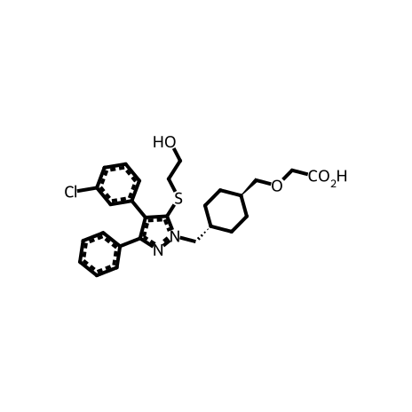 O=C(O)COC[C@H]1CC[C@H](Cn2nc(-c3ccccc3)c(-c3cccc(Cl)c3)c2SCCO)CC1